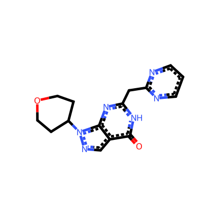 O=c1[nH]c(Cc2ncccn2)nc2c1cnn2C1CCOCC1